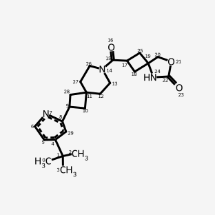 CC(C)(C)c1ccnc(C2CC3(CCN(C(=O)C4CC5(COC(=O)N5)C4)CC3)C2)c1